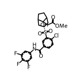 COC(=O)C[C@]1(O)C2CCC1C[C@@H](S(=O)(=O)c1cc(C(=O)Nc3cc(F)c(F)c(F)c3)ccc1Cl)C2